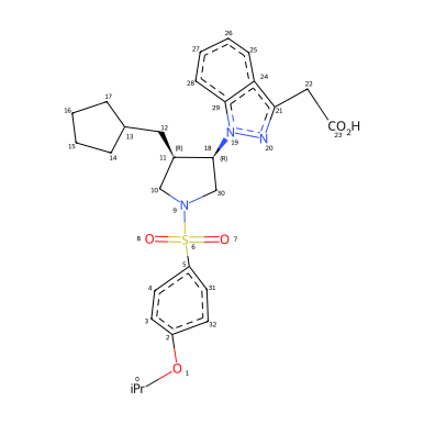 CC(C)Oc1ccc(S(=O)(=O)N2C[C@@H](CC3CCCC3)[C@@H](n3nc(CC(=O)O)c4ccccc43)C2)cc1